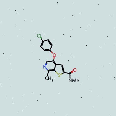 CNC(=O)c1cc2c(Oc3ccc(Cl)cc3)cnc(C)c2s1